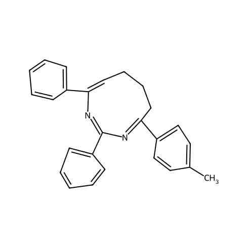 Cc1ccc(/C2=N/C(c3ccccc3)=N\C(c3ccccc3)=C/CCC2)cc1